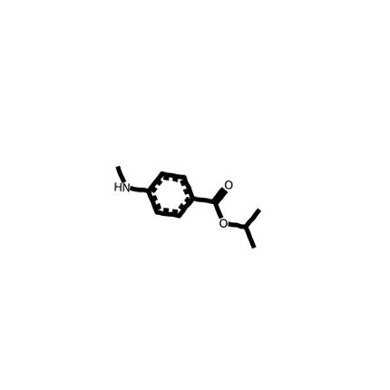 CNc1ccc(C(=O)OC(C)C)cc1